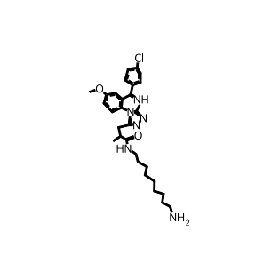 COc1ccc(-n2c(C)nnc2CC(C)C(=O)NCCCCCCCCCN)c(C(=N)c2ccc(Cl)cc2)c1